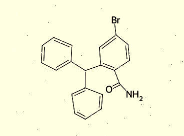 NC(=O)c1ccc(Br)cc1C(c1ccccc1)c1ccccc1